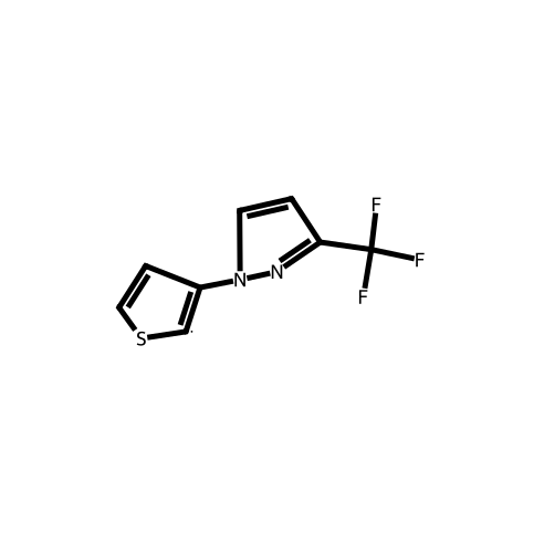 FC(F)(F)c1ccn(-c2[c]scc2)n1